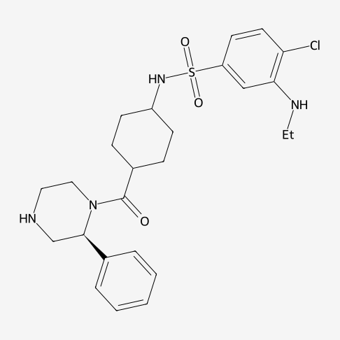 CCNc1cc(S(=O)(=O)NC2CCC(C(=O)N3CCNC[C@@H]3c3ccccc3)CC2)ccc1Cl